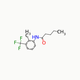 CCCCC(=O)Nc1cccc(C(F)(F)F)c1C